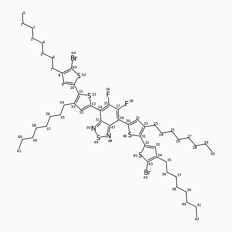 CCCCCCCCc1cc(-c2sc(-c3c(F)c(F)c(-c4cc(CCCCCCCC)c(-c5cc(CCCCCCCC)c(Br)s5)s4)c4nsnc34)cc2CCCCCCCC)sc1Br